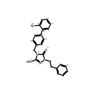 CCCCc1nn(CCc2ccccc2)c(=O)n1Cc1ccc(-c2ccccc2C#N)cc1